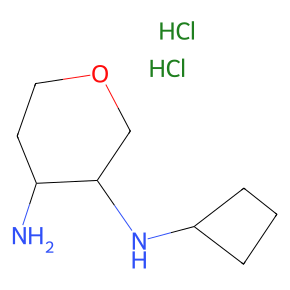 Cl.Cl.NC1CCOCC1NC1CCC1